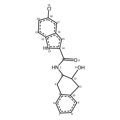 O=C(NC1Cc2ccccc2CC1O)c1cc2cc(Cl)ccc2[nH]1